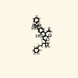 O=c1oc(C2(CCCc3ccccc3)CCC2)cc(O)c1C(c1ccc(NS(=O)(=O)c2ccccc2)cc1)C1CC1